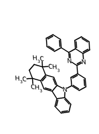 CC1(C)CCC(C)(C)c2cc3c(cc21)c1ccccc1n3-c1cccc(-c2nc(-c3ccccc3)c3ccccc3n2)c1